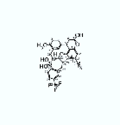 Cc1ccc(C(CC(=O)O)c2ccc(C#N)cc2C)cc1CN1CC(C)Cc2cc(C(F)(F)F)ccc2S1(O)O